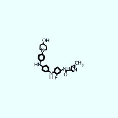 Cn1cc(C(=O)Nc2ccc(Nc3ccc(Nc4ccc(N5CCC(O)CC5)cc4)cc3)c(F)c2)cn1